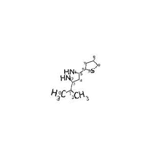 CC(C)C1CC(C2CCCS2)NN1